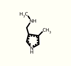 CNCc1c[nH]cc1C